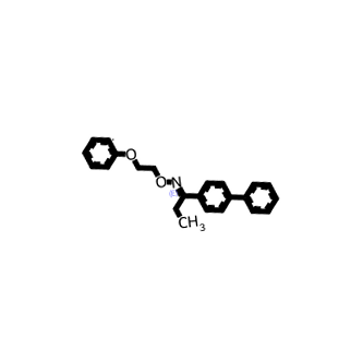 CC/C(=N\OCCOc1[c]cccc1)c1ccc(-c2ccccc2)cc1